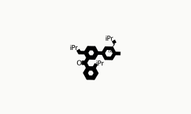 CC(C)Cc1ccc(C2CCC(C)[C@@H](CC(C)C)C2)cc1C(=O)c1ccccc1C(C)C